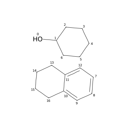 OC1CCCCC1.c1ccc2c(c1)CCCC2